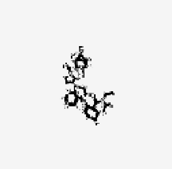 CCN(C(=O)c1cc(F)ccc1N1CCN([C@@H]2CCN(C(=O)[C@H]3NC4C[C@@H]3[C@H](F)C4)C2)c2ncncc21)C(C)C